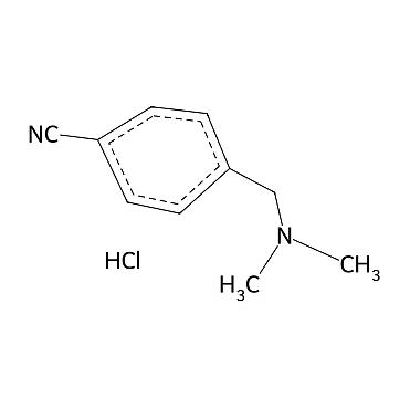 CN(C)Cc1ccc(C#N)cc1.Cl